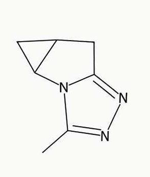 Cc1nnc2n1C1CC1C2